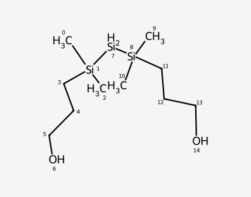 C[Si](C)(CCCO)[SiH2][Si](C)(C)CCCO